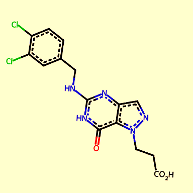 O=C(O)CCn1ncc2nc(NCc3ccc(Cl)c(Cl)c3)[nH]c(=O)c21